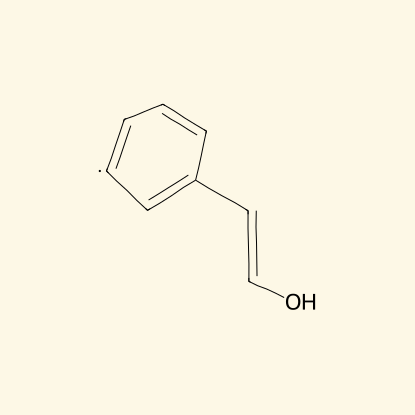 OC=Cc1c[c]ccc1